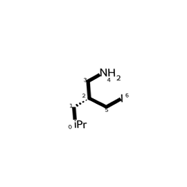 CC(C)C[C@H](CN)CI